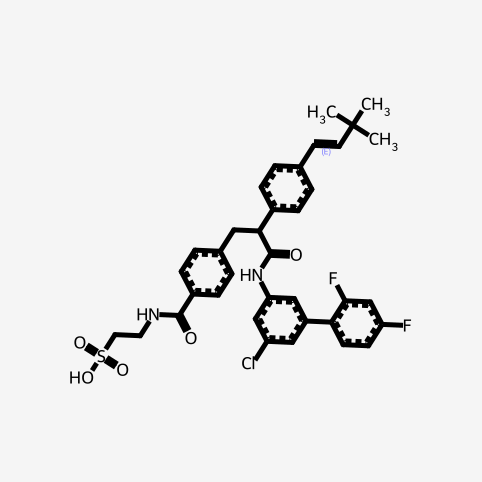 CC(C)(C)/C=C/c1ccc(C(Cc2ccc(C(=O)NCCS(=O)(=O)O)cc2)C(=O)Nc2cc(Cl)cc(-c3ccc(F)cc3F)c2)cc1